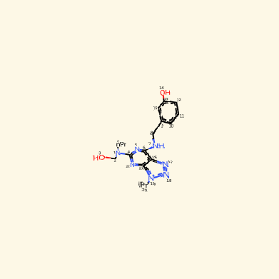 CCCN(CO)c1nc(NCc2cccc(O)c2)c2nnn(C(C)C)c2n1